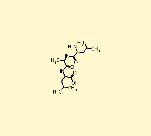 CC(C)CC(N)C(=O)NC(C)C(=O)NC(CC(C)C)C(=O)O